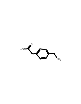 NCc1ccc(CC(=O)O)cc1